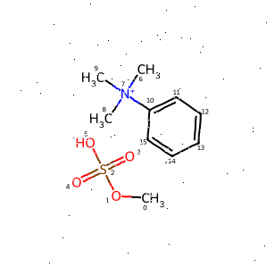 COS(=O)(=O)O.C[N+](C)(C)c1ccccc1